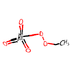 CO[O][Re](=[O])(=[O])=[O]